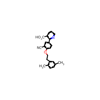 Cc1ccc(C)c(CCOc2ccc(-c3ncccc3C(=O)O)cc2C#N)c1